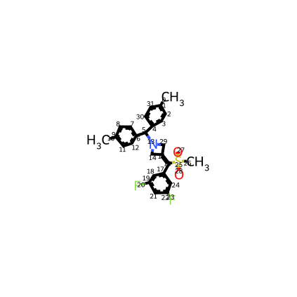 Cc1ccc(C(c2ccc(C)cc2)N2CC(=C(c3cc(F)cc(F)c3)S(C)(=O)=O)C2)cc1